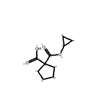 O=C(O)C1(C(=O)OC2CC2)CCCC1